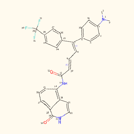 CN(C)c1ccc(/C(=C/C=C/C(=O)Nc2cccc3c(=O)[nH]ccc23)c2ccc(C(F)(F)F)cc2)cc1